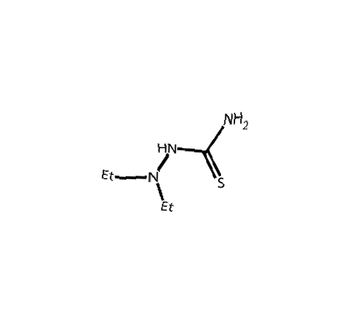 CCN(CC)NC(N)=S